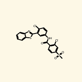 CS(=O)(=O)c1ccc(C(=O)Nc2ccc(Cl)c(-c3nc4ccccc4s3)c2)c(Cl)c1